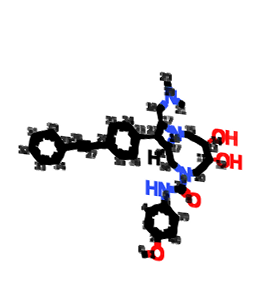 COc1ccc(NC(=O)N2C[C@@H](O)[C@@H](O)CN3[C@H](CN(C)C)[C@H](c4ccc(C#Cc5ccccc5)cc4)[C@@H]3C2)cc1